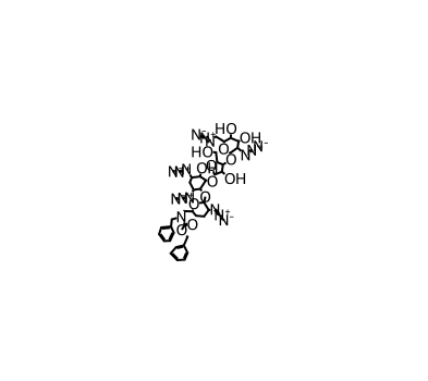 [N-]=[N+]=NCC1OC(OC2C(CO)OC(OC3C(O)C(N=[N+]=[N-])CC(N=[N+]=[N-])C3OC3OC(CN(Cc4ccccc4)C(=O)OCc4ccccc4)CCC3N=[N+]=[N-])C2O)C(N=[N+]=[N-])C(O)C1O